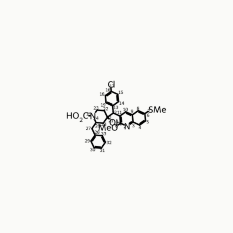 COc1nc2ccc(SC)cc2cc1C(c1ccc(Cl)cc1)C1(O)CCN(C(=O)O)C(Cc2ccccc2)C1